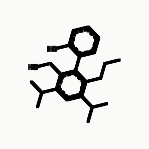 CCCc1c(C(C)C)cc(C(C)C)c(CO)c1-c1ccccc1O